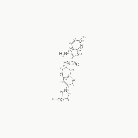 CO[C@@H]1CCN(c2ccc3c(c2)OC[C@H](NC(=O)c2sc4nc(C)ccc4c2N)C3)C1